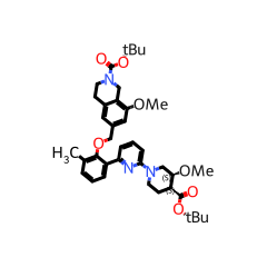 COc1cc(COc2c(C)cccc2-c2cccc(N3CC[C@H](C(=O)OC(C)(C)C)[C@H](OC)C3)n2)cc2c1CN(C(=O)OC(C)(C)C)CC2